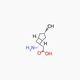 C#C[C@@H]1C[C@@H]2C[C@](CN)(CC(=O)O)[C@@H]2C1